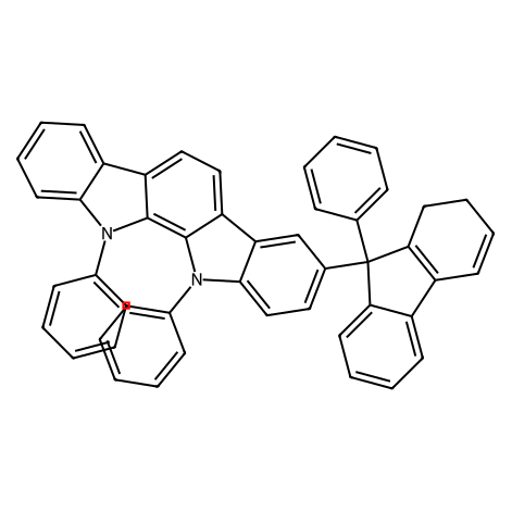 C1=CC2=C(CC1)C(c1ccccc1)(c1ccc3c(c1)c1ccc4c5ccccc5n(-c5ccccc5)c4c1n3-c1ccccc1)c1ccccc12